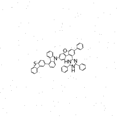 c1ccc(C2=NC(c3cc(-c4ccccc4)cc4oc5cc(-n6c7ccccc7c7c(-c8ccc9sc%10ccccc%10c9c8)cccc76)ccc5c34)NC(c3ccccc3)N2)cc1